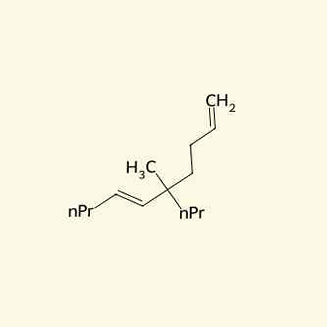 C=CCCC(C)(C=CCCC)CCC